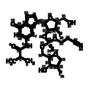 CC(C)C(=O)Nc1nc2c(ncn2[C@@H]2O[C@H](CO)[C@@H](F)[C@H]2OP(=S)(OCCC#N)OC[C@H]2OC[C@@H](F)[C@@H]2O)c(=O)[nH]1